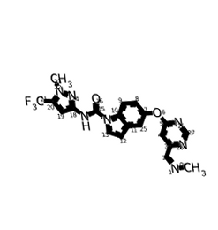 C/N=C\c1cc(Oc2ccc3c(ccn3C(=O)Nc3cc(C(F)(F)F)n(C)n3)c2)ncn1